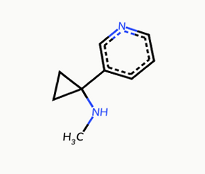 CNC1(c2cccnc2)CC1